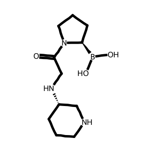 O=C(CN[C@H]1CCCNC1)N1CCC[C@H]1B(O)O